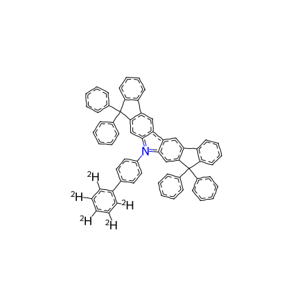 [2H]c1c([2H])c([2H])c(-c2ccc(-n3c4cc5c(cc4c4cc6c(cc43)C(c3ccccc3)(c3ccccc3)c3ccccc3-6)-c3ccccc3C5(c3ccccc3)c3ccccc3)cc2)c([2H])c1[2H]